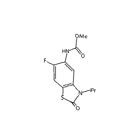 COC(=O)Nc1cc2c(cc1F)sc(=O)n2C(C)C